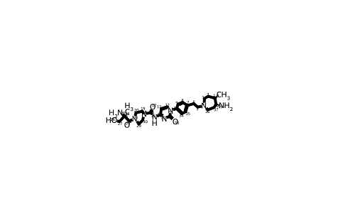 C[C@@H]1CCN(CCc2ccc(-n3ccc(NC(=O)N4CCN(C(=O)C(C)(N)CO)CC4)nc3=O)cc2)CC[C@H]1N